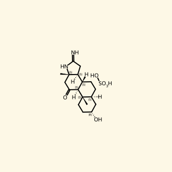 C[C@]12CC[C@@H](O)C[C@@H]1CC[C@@H]1[C@@H]2C(=O)C[C@]2(C)NC(=N)C[C@@H]12.O=S(=O)(O)O